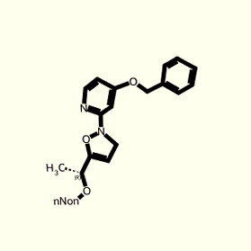 CCCCCCCCCO[C@H](C)C1=CCN(c2cc(OCc3ccccc3)ccn2)O1